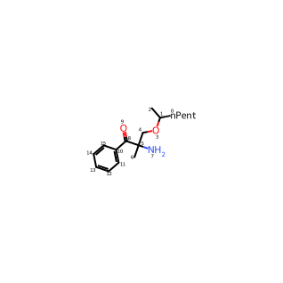 CCCCCC(C)OCC(C)(N)C(=O)c1ccccc1